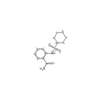 NC(=O)c1ccccc1NS(=O)(=O)N1CCOCC1